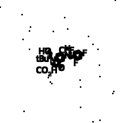 CC(C)(C)[C@@H](CO)n1cc(C(=O)O)c(=O)c2cc(NCc3c(F)cc(F)cc3F)c(C(F)(F)F)cc21